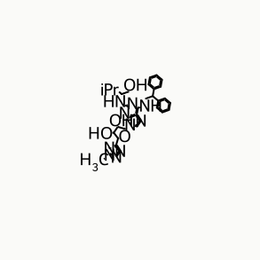 CC(C)C(CO)Nc1nc(NCC(c2ccccc2)c2ccccc2)c2ncn(C3OC(c4nnn(C)n4)C(O)C3O)c2n1